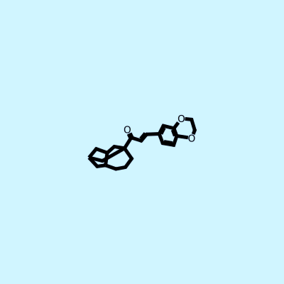 O=C(/C=C/c1ccc2c(c1)OCCO2)C12CCCC3CC(CC3C1)C2